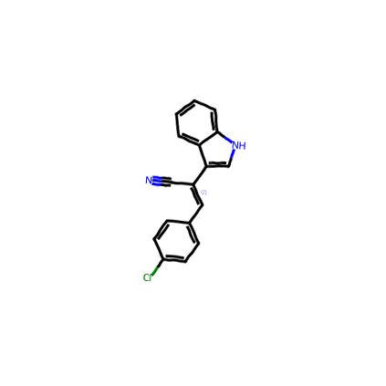 N#C/C(=C\c1ccc(Cl)cc1)c1c[nH]c2ccccc12